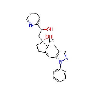 CCC12Cc3cnn(-c4ccccc4)c3C=C1CC[C@@]2(O)CC(O)c1ccccn1